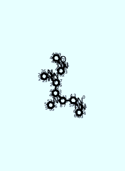 Cn1c2ccc(-c3ccc4c(c3)c3cc(-c5ccc6c(c5)n5c7ccccc7nc5n6-c5ccc6nc7oc8ccccc8n7c6c5)ccc3n4-c3ccccc3)cc2n2c3ccccc3nc12